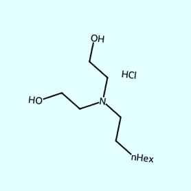 CCCCCCCCN(CCO)CCO.Cl